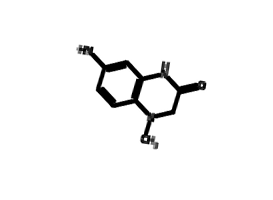 CN1CC(=O)Nc2cc([NH])ccc21